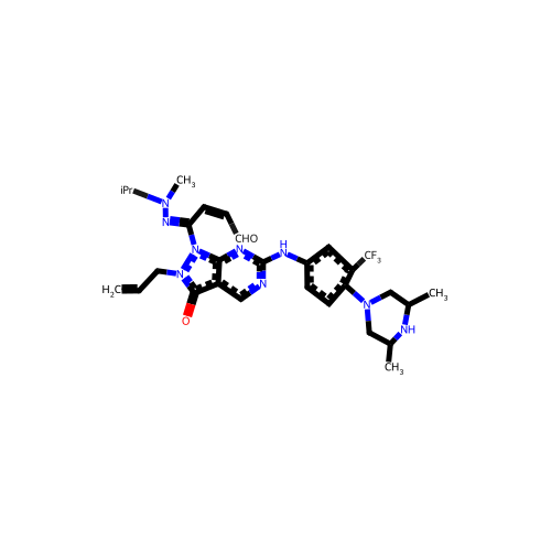 C=CCn1c(=O)c2cnc(Nc3ccc(N4CC(C)NC(C)C4)c(C(F)(F)F)c3)nc2n1C(/C=C\C=O)=N/N(C)C(C)C